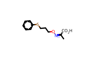 C/C(=N/OCCCSc1ccccc1)C(=O)O